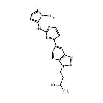 CC(O)CCn1nnc2cc(-c3ccnc(Nc4ccnn4C)n3)ccc21